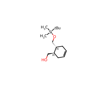 CC(C)(C)[Si](C)(C)OC[C@@H]1CC=CC[C@H]1CO